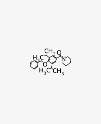 CC(C)c1cc(C(=O)N2CCCCC2)cc(C(C)C)c1OCc1ccccc1